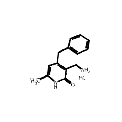 Cc1cc(Cc2ccccc2)c(CN)c(=O)[nH]1.Cl